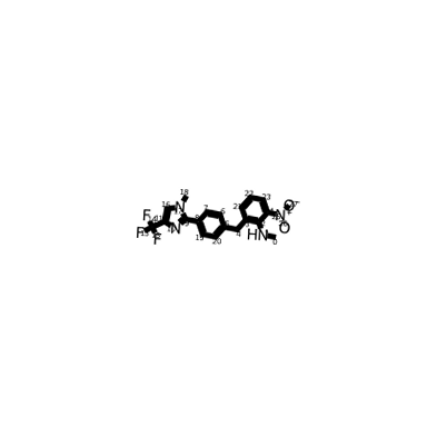 CNc1c(Cc2ccc(-c3nc(C(F)(F)F)cn3C)cc2)cccc1[N+](=O)[O-]